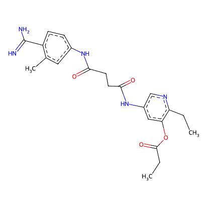 CCC(=O)Oc1cc(NC(=O)CCC(=O)Nc2ccc(C(=N)N)c(C)c2)cnc1CC